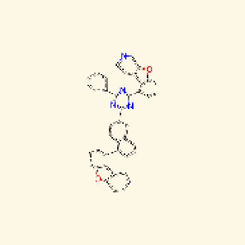 c1ccc(-c2nc(-c3ccc4c(-c5cccc6oc7ccccc7c56)cccc4c3)nc(-c3cccc4oc5cnccc5c34)n2)cc1